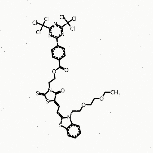 CCOCCOCCN1C(=CC=C2SC(=S)N(CCOC(=O)c3ccc(-c4nc(C(Cl)(Cl)Cl)nc(C(Cl)(Cl)Cl)n4)cc3)C2=O)Sc2ccccc21